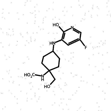 O=C(O)NC1(CO)CCC(Nc2cc(F)cnc2O)CC1